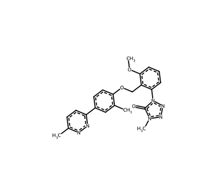 COc1cccc(-n2nnn(C)c2=O)c1COc1ccc(-c2ccc(C)nn2)cc1C